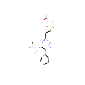 CC(=O)NS(=O)(=O)/C=C/c1cnc(-c2ccc(F)cc2)c(N(C)C(C)C)n1